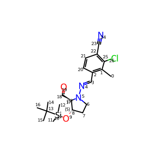 Cc1c(C=NN2CC[C@H](O[Si](C)(C)C(C)(C)C)[C@H]2C=O)ccc(C#N)c1Cl